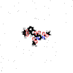 CN(C(=O)OC(C)(C)C)[C@H]1CN(C(=O)OC(C)(C)C)C(CCCCB2OC(C)(C)C(C)(C)O2)(C(=O)OCc2ccccc2)C1